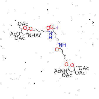 CC(=O)NC1C(OCCCCCC(=O)NCCCCC(NC(=O)CCCCCOC2OC(COC(C)=O)C(OC(C)=O)C(OC(C)=O)C2NC(C)=O)C(=O)I)OC(COC(C)=O)C(OC(C)=O)C1OC(C)=O